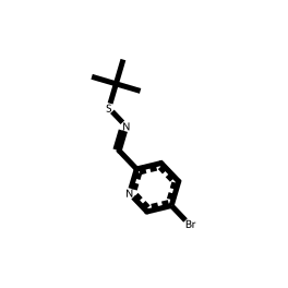 CC(C)(C)SN=Cc1ccc(Br)cn1